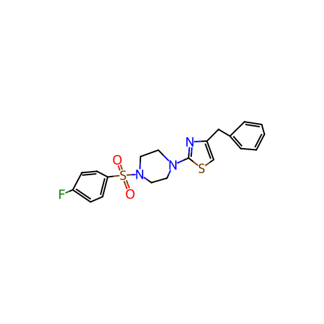 O=S(=O)(c1ccc(F)cc1)N1CCN(c2nc(Cc3ccccc3)cs2)CC1